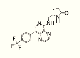 O=C1CCC(CNc2ncc(-c3ccc(C(F)(F)F)cc3)c3nccnc23)N1